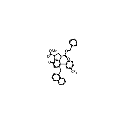 COC(=O)C1CN(C(=O)OCc2ccccc2)c2c(-c3cccc(C(F)(F)F)c3)c(Cc3cccc4ccccc34)cc(=O)n21